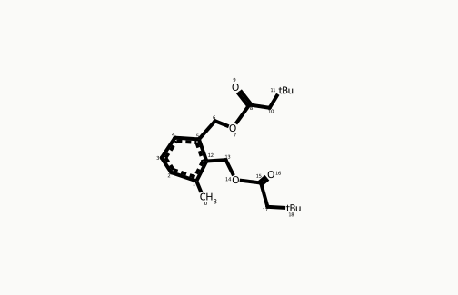 Cc1cccc(COC(=O)CC(C)(C)C)c1COC(=O)CC(C)(C)C